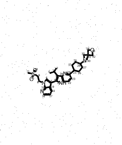 CC(C)c1c(-c2cn(CCS(C)(=O)=O)c3ncccc23)[nH]c2ccc(C3CCC(N4CC5(COC5)C4)CC3)nc12